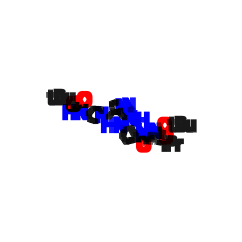 CC(C)C[C@@H](NC(=O)OC(C)(C)C)C(=O)Nc1cccc(Nc2ncnn3ccc(CN4CCC(NC(=O)OC(C)(C)C)CC4)c23)c1